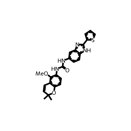 COc1c(NC(=O)Nc2ccc3[nH]c(-c4cccs4)nc3c2)ccc2c1C=CC(C)(C)O2